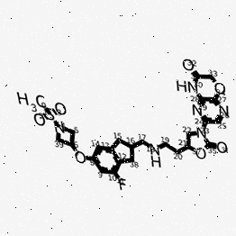 CS(=O)(=O)N1CC(Oc2cc(F)c3c(c2)CC(CNCCC2CN(c4cnc5c(n4)NC(=O)CO5)C(=O)O2)C3)C1